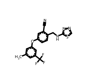 Cc1cc(Oc2ccc(CNc3nncs3)c(C#N)c2)cc(C(F)(F)F)c1